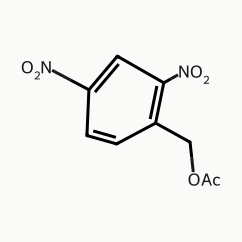 CC(=O)OCc1ccc([N+](=O)[O-])cc1[N+](=O)[O-]